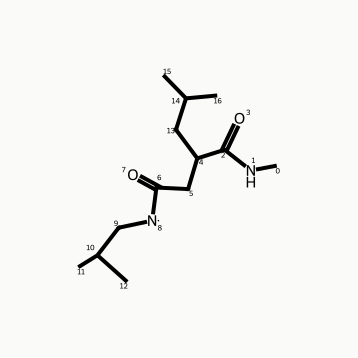 CNC(=O)C(CC(=O)[N]CC(C)C)CC(C)C